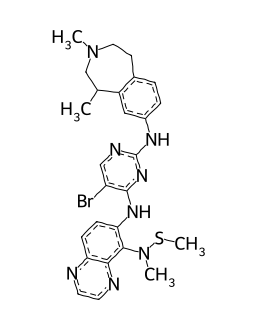 CSN(C)c1c(Nc2nc(Nc3ccc4c(c3)C(C)CN(C)CC4)ncc2Br)ccc2nccnc12